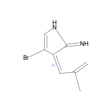 C=C(C)/C=C1\C(=N)NC=C1Br